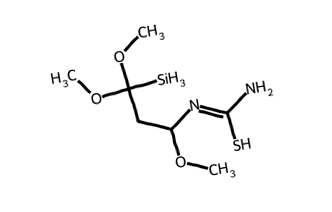 COC(CC([SiH3])(OC)OC)N=C(N)S